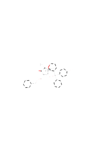 COc1ccc(C(O[C@@H]2[C@H]3O[C@H]3C(=O)[C@H]2COCc2ccccc2)(c2ccccc2)c2ccccc2)cc1